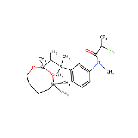 CC([Si]1(C)OCCCC[Si](C)(C)O1)[Si](C)(C)c1cccc(N(C)C(=O)C(F)C(F)(F)F)c1